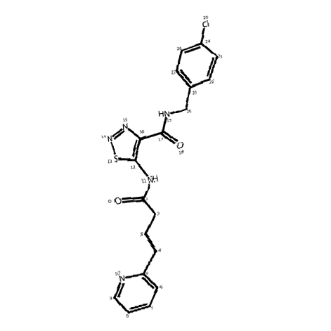 O=C(CCCc1ccccn1)Nc1snnc1C(=O)NCc1ccc(Cl)cc1